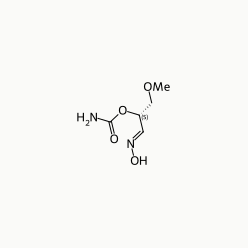 COC[C@H](C=NO)OC(N)=O